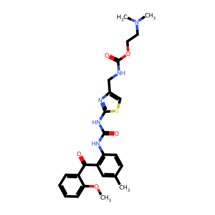 COc1ccccc1C(=O)c1cc(C)ccc1NC(=O)Nc1nc(CNC(=O)OCCN(C)C)cs1